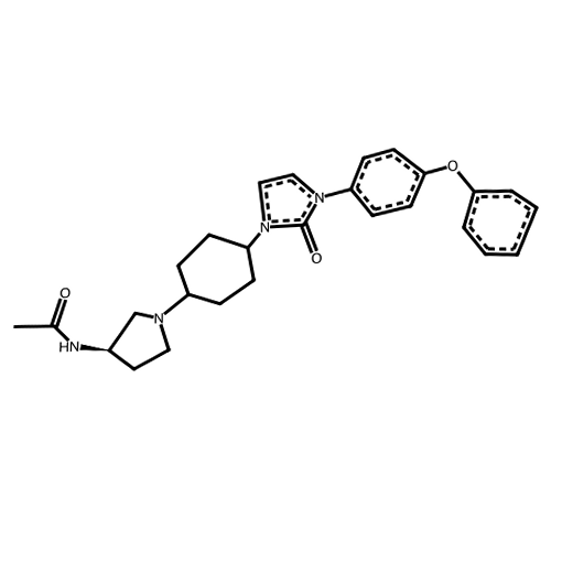 CC(=O)N[C@@H]1CCN(C2CCC(n3ccn(-c4ccc(Oc5ccccc5)cc4)c3=O)CC2)C1